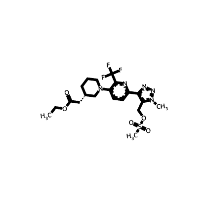 CCOC(=O)C[C@@H]1CCCN(c2ccc(-c3nnn(C)c3COS(C)(=O)=O)nc2C(F)(F)F)C1